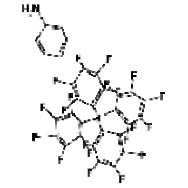 Fc1c(F)c(F)c([B-](c2c(F)c(F)c(F)c(F)c2F)(c2c(F)c(F)c(F)c(F)c2F)c2c(F)c(F)c(F)c(F)c2F)c(F)c1F.Nc1ccccc1